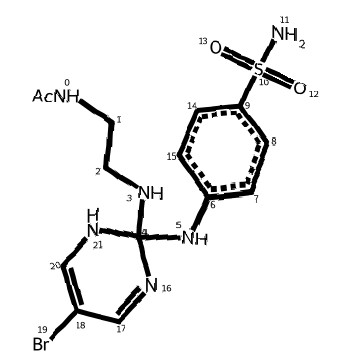 CC(=O)NCCNC1(Nc2ccc(S(N)(=O)=O)cc2)N=CC(Br)=CN1